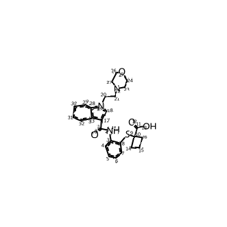 O=C(Nc1ccccc1SC1(C(=O)O)CCC1)c1cn(CCN2CCOCC2)c2ccccc12